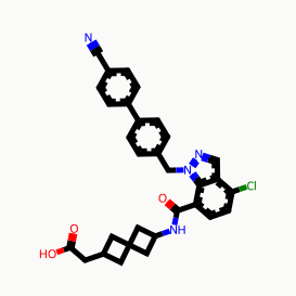 N#Cc1ccc(-c2ccc(Cn3ncc4c(Cl)ccc(C(=O)NC5CC6(CC(CC(=O)O)C6)C5)c43)cc2)cc1